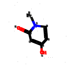 CC(C)n1ccc(O)cc1=O